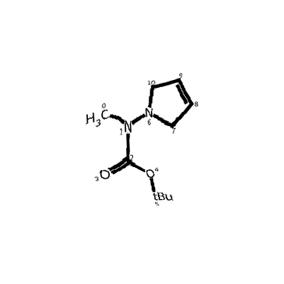 CN(C(=O)OC(C)(C)C)N1CC=CC1